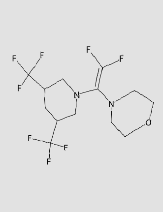 FC(F)=C(N1CCOCC1)N1CC(C(F)(F)F)CC(C(F)(F)F)C1